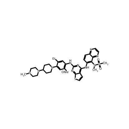 CCc1cc(Nc2nc(Nc3ccc4nccnc4c3N(C)S(C)(=O)=O)c3ccsc3n2)c(OC)cc1N1CCC(N2CCN(C)CC2)CC1